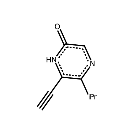 C#Cc1[nH]c(=O)cnc1C(C)C